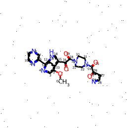 COc1cnc(-c2cnccn2)c2[nH]cc(C(=O)C(=O)N3CCN(C(=O)c4ccno4)CC3)c12